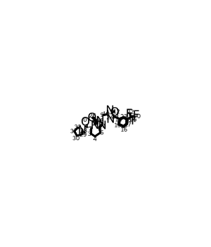 O=C([C@H]1CCCc2nn(Cc3noc(-c4cccc(C(F)(F)F)c4)n3)c(=O)n21)N1CCCC1